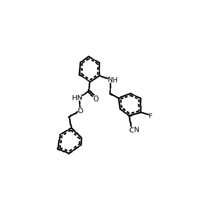 N#Cc1cc(CNc2ccccc2C(=O)NOCc2ccccc2)ccc1F